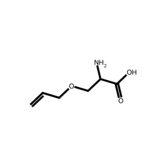 C=CCOCC(N)C(=O)O